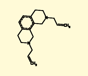 C=CCN1CCc2ccc3c(c2C1)CN(CC=C)CC3